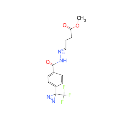 COC(=O)CC/C=N/NC(=O)c1ccc(C2(C(F)(F)F)N=N2)cc1